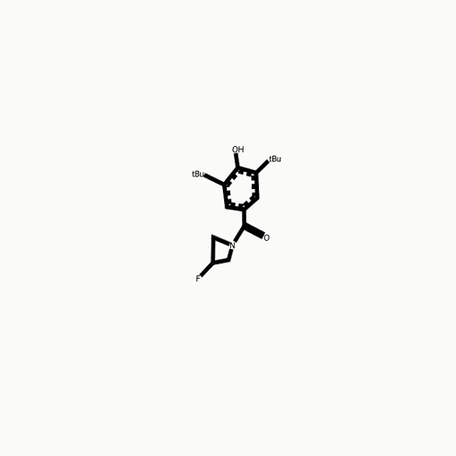 CC(C)(C)c1cc(C(=O)N2CC(F)C2)cc(C(C)(C)C)c1O